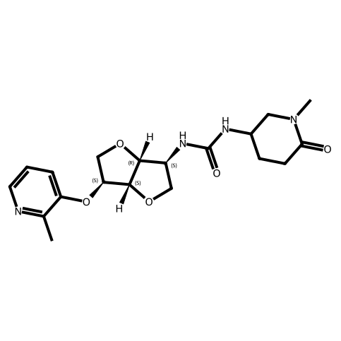 Cc1ncccc1O[C@H]1CO[C@H]2[C@@H]1OC[C@@H]2NC(=O)NC1CCC(=O)N(C)C1